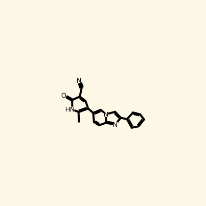 Cc1[nH]c(=O)c(C#N)cc1-c1ccc2nc(-c3ccccc3)cn2c1